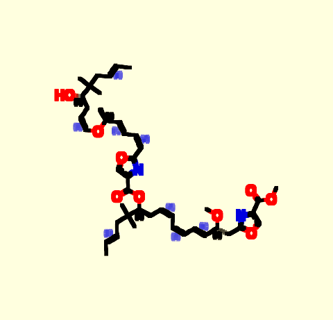 C/C=C/CC(C)(C)[C@H](C\C=C/C=C\C=C\[C@@H](Cc1nc(C(=O)OC)co1)OC)OC(=O)c1coc(/C=C\C=C\[C@H](C)O/C=C\C[C@H](O)C(C)(C)C/C=C/C)n1